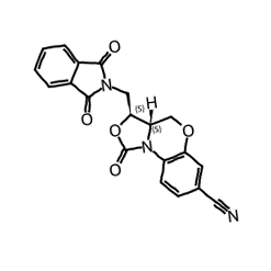 N#Cc1ccc2c(c1)OC[C@H]1[C@H](CN3C(=O)c4ccccc4C3=O)OC(=O)N21